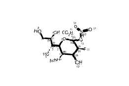 CC(=O)N[C@H]1C([C@H](O)[C@H](O)CO)O[C@](O[SH](=O)=O)(C(=O)O)[C@@H](F)C1O